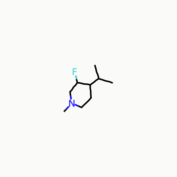 CC(C)C1CCN(C)CC1F